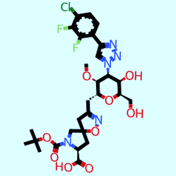 CO[C@@H]1[C@@H](n2cc(-c3ccc(Cl)c(F)c3F)nn2)[C@@H](O)[C@@H](CO)O[C@@H]1CC1=NOC2(C1)C[C@@H](C(=O)O)N(C(=O)OC(C)(C)C)C2